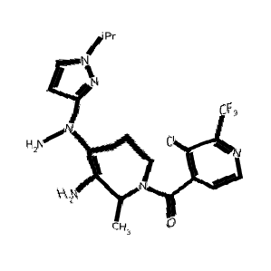 CC1C(N)=C(N(N)c2ccn(C(C)C)n2)CCN1C(=O)c1ccnc(C(F)(F)F)c1Cl